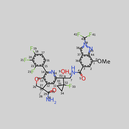 COc1cc(C(=O)NC[C@](O)(c2cc3c(c(-c4ccc(F)c(F)c4F)n2)OC[C@]3(C)C(N)=O)C2(F)CC2)cc2cn(C(F)F)nc12